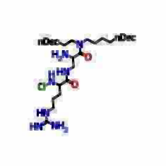 CCCCCCCCCCCCCCN(CCCCCCCCCCCC)C(=O)C(N)CNC(=O)C(CCCNC(=N)N)NCl